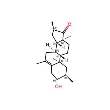 CC1=C2C[C@@H](O)[C@H](C)C[C@]2(C)[C@H]2CC[C@]3(C)C(=O)[C@H](C)C[C@H]3[C@@H]2C1